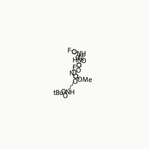 COc1cc2c(Oc3ccc(NC(=O)C4(C(=O)Nc5ccc(F)cc5)CC4)cc3F)ccnc2cc1OCCCCCNC(=O)OC(C)(C)C